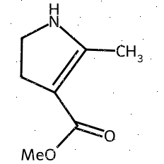 COC(=O)C1=C(C)NCC1